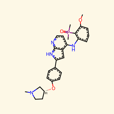 COc1cccc(Nc2ccnc3[nH]c(-c4ccc(O[C@@H]5CCN(C)C5)cc4)cc23)c1P(C)(C)=O